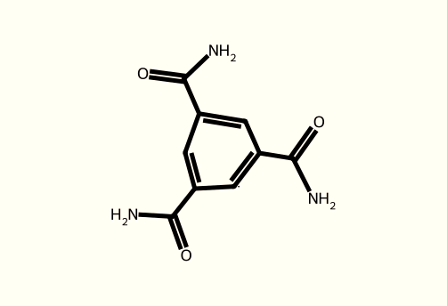 NC(=O)c1[c]c(C(N)=O)cc(C(N)=O)c1